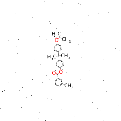 Cc1cccc(C(=O)Oc2ccc(C(C)(C)c3ccc(OC(C)C)cc3)cc2)c1